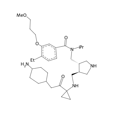 CCc1ccc(C(=O)N(C[C@@H]2CNC[C@H]2CNC2(C(=O)CC3CCC(N)CC3)CC2)C(C)C)cc1OCCCOC